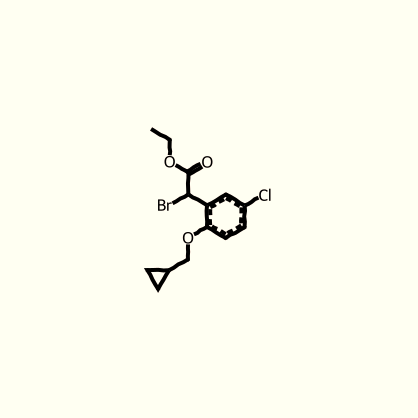 CCOC(=O)C(Br)c1cc(Cl)ccc1OCC1CC1